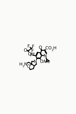 COc1c(N2CC3CCOC3(CN)C2)c(F)cc2c(=O)c(C(=O)O)cn(C3CC3)c12.O=C(O)C(F)(F)F